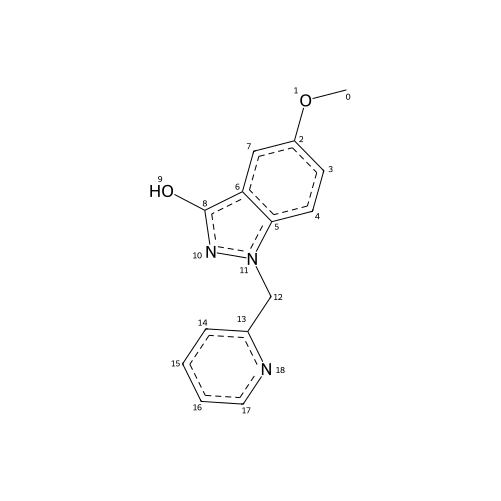 COc1ccc2c(c1)c(O)nn2Cc1ccccn1